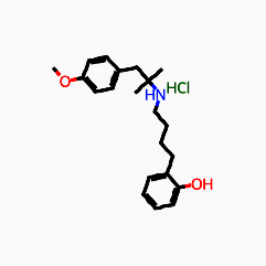 COc1ccc(CC(C)(C)NCCCCc2ccccc2O)cc1.Cl